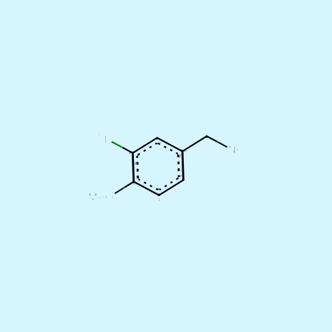 [C-]#[N+]Cc1ccc(OC)c(F)c1